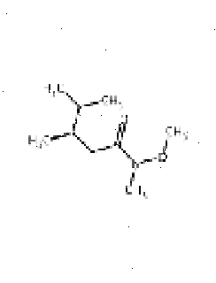 CON(C)C(=O)C[C@@H](C)C(C)C